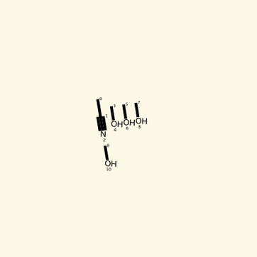 CC#N.CO.CO.CO.CO